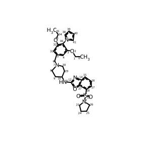 CCOc1cc(CN2CCC(Nc3nc4cccc(S(=O)(=O)N5CCCC5)c4o3)CC2)cc(OCC)c1-n1cccc1